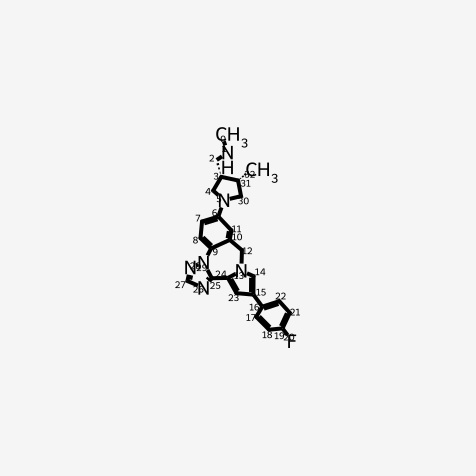 CNC[C@H]1CN(c2ccc3c(c2)Cn2cc(-c4ccc(F)cc4)cc2-c2ncnn2-3)C[C@H]1C